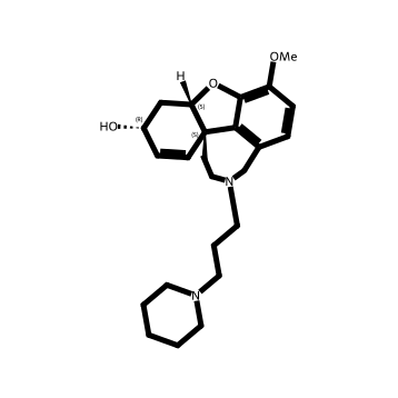 COc1ccc2c3c1O[C@H]1C[C@@H](O)C=C[C@@]31CCN(CCCN1CCCCC1)C2